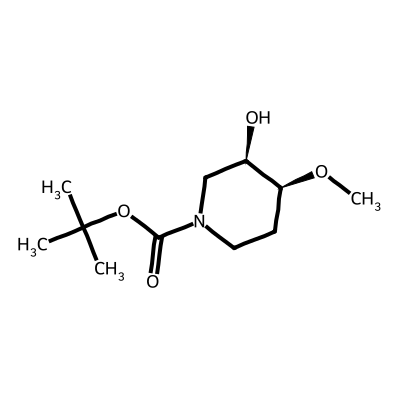 CO[C@H]1CCN(C(=O)OC(C)(C)C)C[C@H]1O